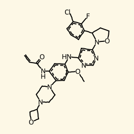 C=CC(=O)Nc1cc(Nc2cc(N3OCCC3c3cccc(Cl)c3F)ncn2)c(OC)cc1N1CCN(C2COC2)CC1